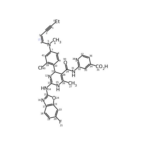 CCC#C/C=C\N(C)c1ccc(C2N=C(Nc3nc4ccc(F)cc4o3)NC(C)=C2C(=O)Nc2cc(C(=O)O)ccn2)c(Cl)c1